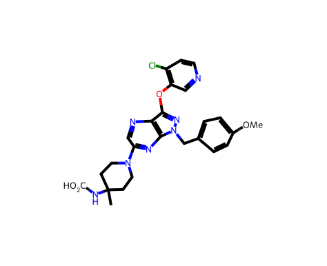 COc1ccc(Cn2nc(Oc3cnccc3Cl)c3ncc(N4CCC(C)(NC(=O)O)CC4)nc32)cc1